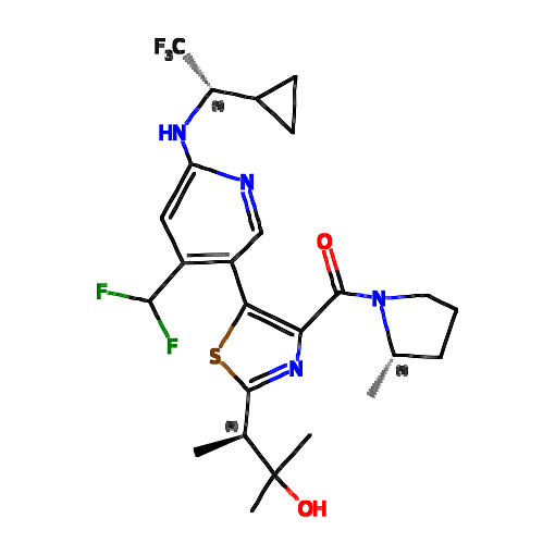 C[C@H]1CCCN1C(=O)c1nc([C@H](C)C(C)(C)O)sc1-c1cnc(N[C@@H](C2CC2)C(F)(F)F)cc1C(F)F